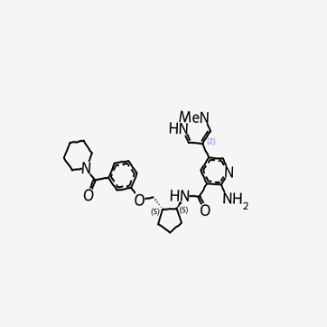 CN/C=C(\C=N)c1cnc(N)c(C(=O)N[C@H]2CCC[C@@H]2COc2cccc(C(=O)N3CCCCC3)c2)c1